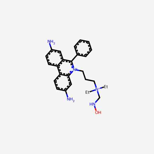 CC[N+](CC)(CCC[n+]1c(-c2ccccc2)c2cc(N)ccc2c2ccc(N)cc21)CNO